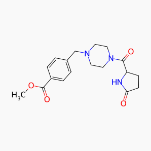 COC(=O)c1ccc(CN2CCN(C(=O)C3CCC(=O)N3)CC2)cc1